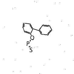 S=POc1ccccc1-c1ccccc1